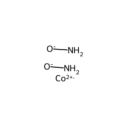 N[O-].N[O-].[Co+2]